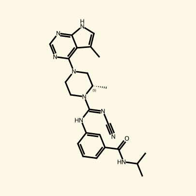 Cc1c[nH]c2ncnc(N3CCN(C(=NC#N)Nc4cccc(C(=O)NC(C)C)c4)[C@@H](C)C3)c12